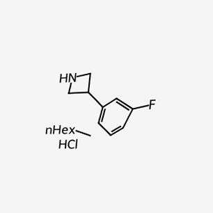 CCCCCCC.Cl.Fc1cccc(C2CNC2)c1